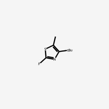 Cc1sc(F)nc1C(C)(C)C